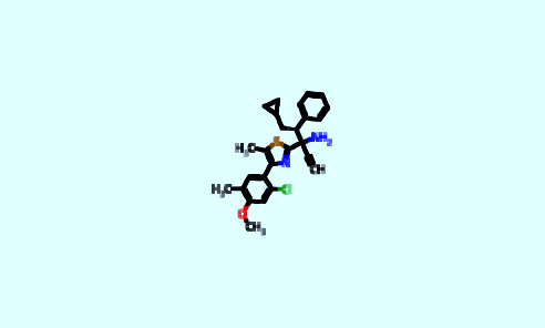 C#CC(N)(c1nc(-c2cc(C)c(OC)cc2Cl)c(C)s1)[C@@H](CC1CC1)c1ccccc1